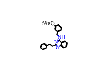 COc1cccc(CNc2nc(CCc3ccccc3)nc3ccccc23)c1